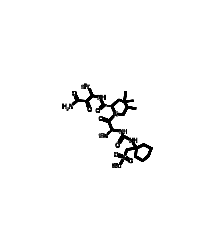 CCCC(NC(=O)[C@@H]1CC(C)(C)C(C)CN1C(=O)[C@@H](NC(=O)NC1(CS(=O)(=O)C(C)(C)C)CCCCC1)C(C)(C)C)C(=O)C(N)=O